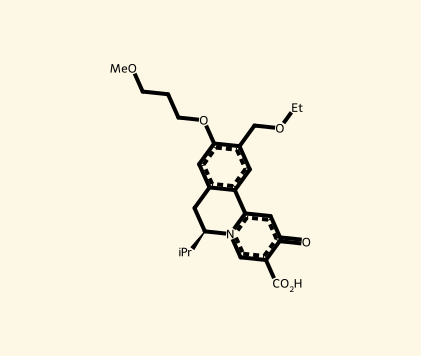 CCOCc1cc2c(cc1OCCCOC)C[C@H](C(C)C)n1cc(C(=O)O)c(=O)cc1-2